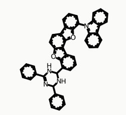 c1ccc(C2=NC(c3ccccc3)NC(c3cccc4c3oc3ccc5c6cccc(-n7c8ccccc8c8ccccc87)c6oc5c34)N2)cc1